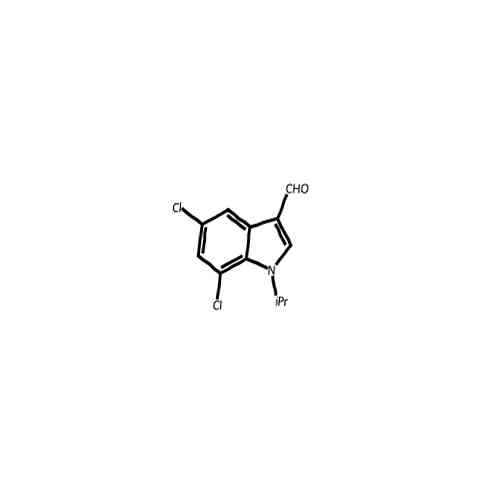 CC(C)n1cc(C=O)c2cc(Cl)cc(Cl)c21